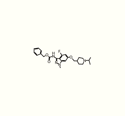 CC(C)N1CCC(COc2cc(F)c3c(NC(=O)OCc4ccccc4)nn(C)c3c2)CC1